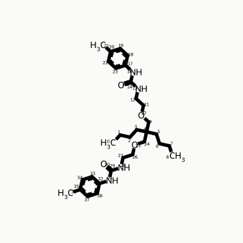 CCCCC(CCCC)(COCCNC(=O)Nc1ccc(C)cc1)COCCNC(=O)Nc1ccc(C)cc1